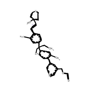 CCC(CC)(c1ccc(/C=C/C2(O)CCOCC2)c(C)c1)c1ccc(-c2cncc(COC=O)c2)c(C)c1